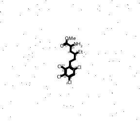 CCC(CCc1c(Cl)cc(Cl)c(Cl)c1Cl)CC(N)C(=O)OC